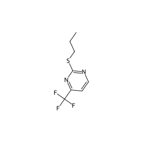 CCCSc1nccc(C(F)(F)F)n1